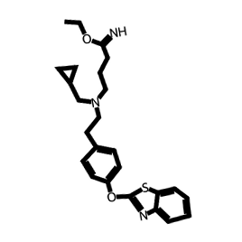 CCOC(=N)CCCN(CCc1ccc(Oc2nc3ccccc3s2)cc1)CC1CC1